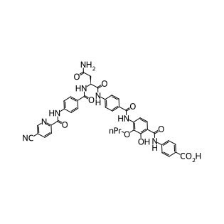 CCCOc1c(NC(=O)c2ccc(NC(=O)[C@H](CC(N)=O)NC(=O)c3ccc(NC(=O)c4ccc(C#N)cn4)cc3)cc2)ccc(C(=O)Nc2ccc(C(=O)O)cc2)c1O